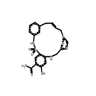 NC(=O)c1cc2c(cc1O)NCc1ncn(n1)C/C=C/Cc1cccc(c1)NS2(=O)=O